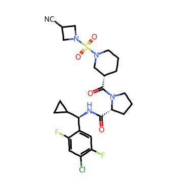 N#CC1CN(S(=O)(=O)N2CCC[C@H](C(=O)N3CCC[C@@H]3C(=O)N[C@@H](c3cc(F)c(Cl)cc3F)C3CC3)C2)C1